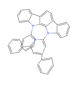 c1ccc(-c2cc(-c3ccccc3)nc(-n3c4ccccc4c4ccc5c6ccccc6n(-c6ccccc6)c5c43)c2)cc1